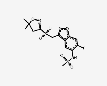 CC1(C)CC(S(=O)(=O)Cc2noc3cc(F)c(NS(C)(=O)=O)cc23)=NO1